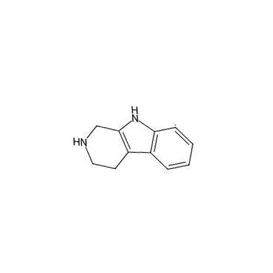 [c]1cccc2c3c([nH]c12)CNCC3